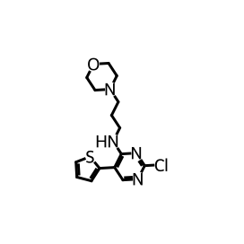 Clc1ncc(-c2cccs2)c(NCCCN2CCOCC2)n1